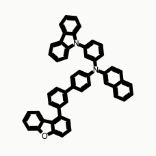 c1cc(-c2ccc(N(c3cccc(-n4c5ccccc5c5ccccc54)c3)c3ccc4ccccc4c3)cc2)cc(-c2cccc3oc4ccccc4c23)c1